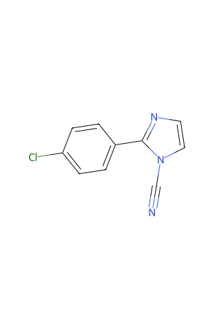 N#Cn1ccnc1-c1ccc(Cl)cc1